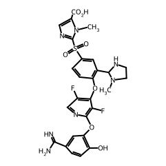 CN1CCNC1c1cc(S(=O)(=O)c2ncc(C(=O)O)n2C)ccc1Oc1c(F)cnc(Oc2cc(C(=N)N)ccc2O)c1F